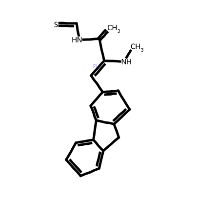 C=C(NC=S)/C(=C/c1ccc2c(c1)-c1ccccc1C2)NC